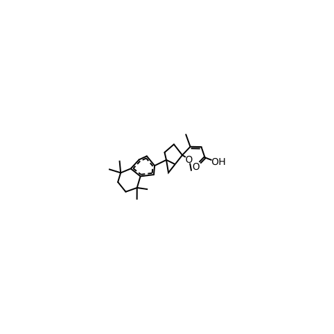 COC1(/C(C)=C\C(=O)O)CCC2(c3ccc4c(c3)C(C)(C)CCC4(C)C)CC12